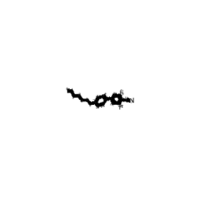 CCCCCCCC1=CCC(c2cc(F)c(C#N)c(F)c2)C=C1